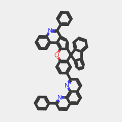 c1ccc(-c2ccc3ccc4ccc(-c5ccc6c(c5)C5(c7ccccc7-c7ccccc75)c5ccc7c(-c8ccccc8)nc8ccccc8c7c5O6)nc4c3n2)cc1